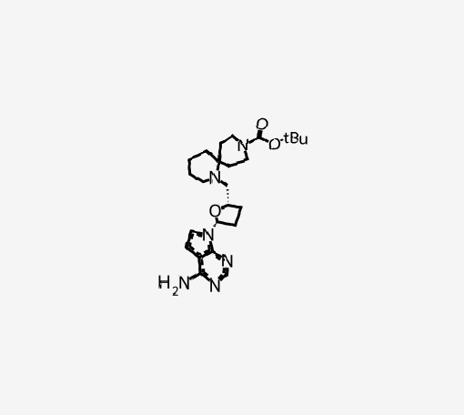 CC(C)(C)OC(=O)N1CCC2(CCCCN2C[C@@H]2CC[C@H](n3ccc4c(N)ncnc43)O2)CC1